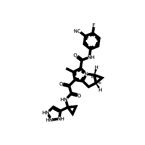 Cc1c(C(=O)C(=O)NC2(C3=CNNN3)CC2)c2n(c1C(=O)Nc1ccc(F)c(C#N)c1)[C@@H]1C[C@@H]1C2